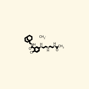 CC(=O)NCCNCCNc1ccc(Cl)c(C(=O)NCC23CCCC(CCC2)C3)c1.[CH2]